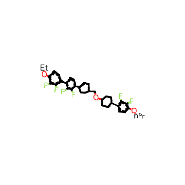 CCCOc1ccc(C2CCC(OCC3CC=C(c4ccc(-c5ccc(OCC)c(F)c5F)c(F)c4F)CC3)CC2)c(F)c1F